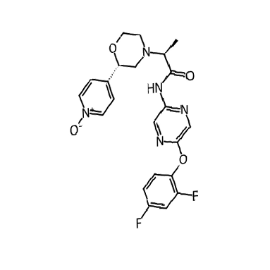 C[C@@H](C(=O)Nc1cnc(Oc2ccc(F)cc2F)cn1)N1CCO[C@@H](c2cc[n+]([O-])cc2)C1